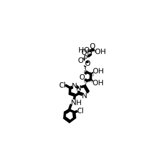 O=P(O)(O)CP(=O)(O)OC[C@H]1O[C@@H](c2cnc3c(NCc4ccccc4Cl)cc(Cl)nn23)[C@H](O)[C@@H]1O